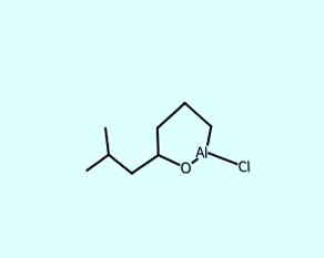 CC(C)CC1CC[CH2][Al]([Cl])[O]1